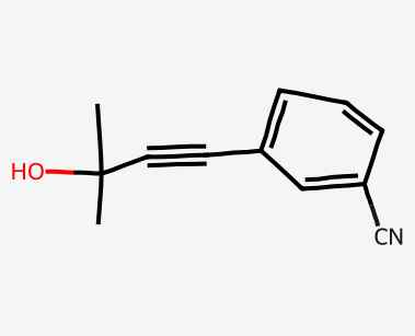 CC(C)(O)C#Cc1cccc(C#N)c1